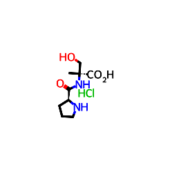 C[C@@](CO)(NC(=O)[C@@H]1CCCN1)C(=O)O.Cl